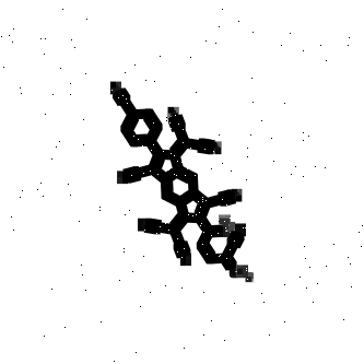 C=C(C#N)/C=C\C(=C)C1=C(C#N)C2C=C3C(=CC2C1=C(C#N)C#N)C(C#N)=C(c1ccc(C#N)cc1)C3=C(C#N)C#N